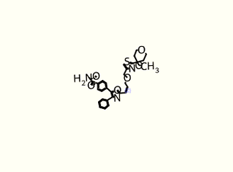 COC1(c2nc(COC/C=C\c3nc(-c4ccccc4)c(-c4ccc(S(N)(=O)=O)cc4)o3)cs2)CCOCC1